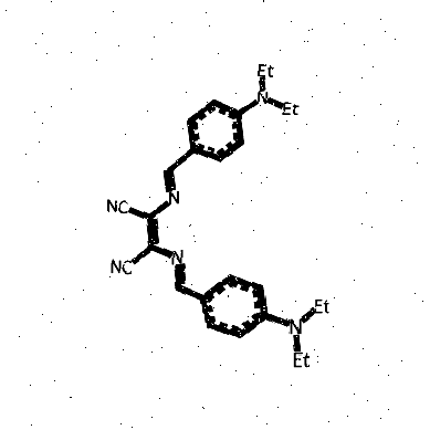 CCN(CC)c1ccc(/C=N/C(C#N)=C(C#N)\N=C\c2ccc(N(CC)CC)cc2)cc1